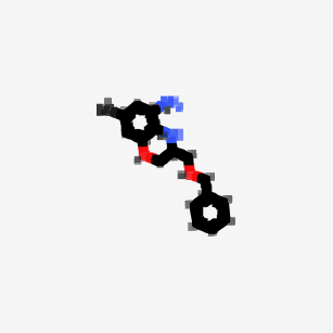 N#Cc1cc(N)c2c(c1)OCC(COCc1ccccc1)N2